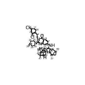 C[C@@H]1[C@@H](N=C(Nc2ccc3c(=O)n(CCc4ccc(Cl)cc4Cl)c(N4CCN(C)CC4)nc3c2)N2C[C@@H](C)O[C@@H](C)C2)C[C@@H]2C[C@H]1C2(C)C